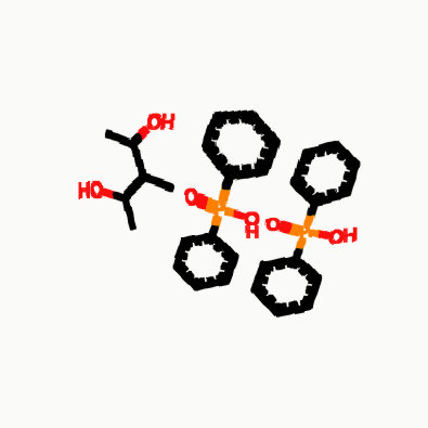 CC(O)C(C)C(C)O.O=P(O)(c1ccccc1)c1ccccc1.O=P(O)(c1ccccc1)c1ccccc1